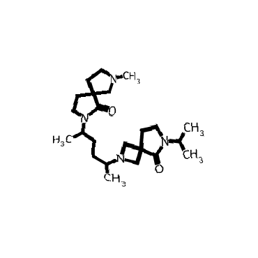 CC(CCC(C)N1CCC2(CCN(C)C2)C1=O)N1CC2(CCN(C(C)C)C2=O)C1